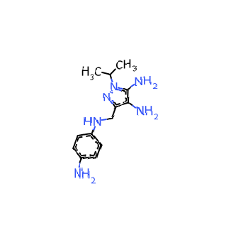 CC(C)n1nc(CNc2ccc(N)cc2)c(N)c1N